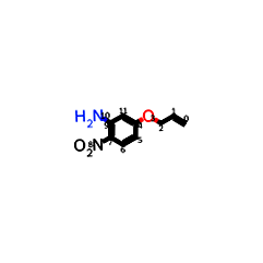 C=CCOc1ccc([N+](=O)[O-])c(N)c1